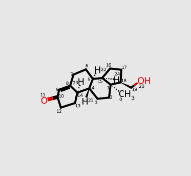 C[C@]12CC[C@H]3[C@@H](CCC4=CC(=O)CC[C@@H]43)[C@H]1CC[C@H]2CO